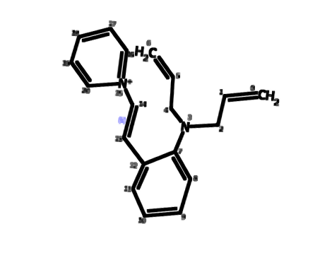 C=CCN(CC=C)c1ccccc1/C=C/[n+]1ccccc1